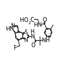 Cc1ccc(NC(C)(C)C(=O)Nc2nc3c(CF)cc4[nH]ncc4c3s2)cc1C(=O)NCC(=O)O